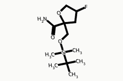 CC(C)(C)[Si](C)(C)OCC1(C(N)=O)CC(F)CO1